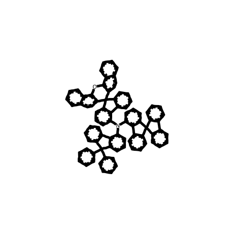 c1ccc(C2(c3ccccc3)c3ccccc3-c3c(N(c4cccc5c4-c4ccccc4C54c5ccccc5-c5ccccc54)c4cccc5c4-c4ccccc4C54c5ccc6ccccc6c5Oc5c4ccc4ccccc54)cccc32)cc1